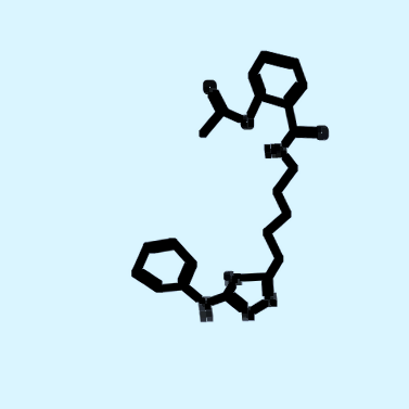 CC(=O)Oc1ccccc1C(=O)NCCCCCc1nnc(Nc2ccccc2)[se]1